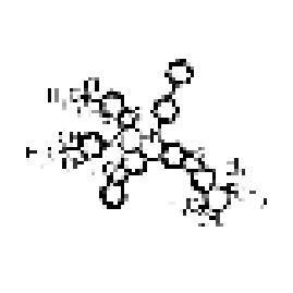 CC(C)(C)c1ccc(N2c3c(sc4ccc(C(C)(C)C)cc34)B3c4c(cc5c(oc6ccccc65)c42)-c2cc4c(cc2N3c2ccc(-c3ccccc3)cc2)sc2cc3c(cc24)C(C)(C)CCC3(C)C)cc1